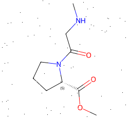 CNCC(=O)N1CCC[C@H]1C(=O)OC